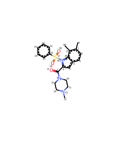 Cc1ccc2cc(C(=O)N3CCN(C)CC3)n(S(=O)(=O)c3ccccc3)c2c1C